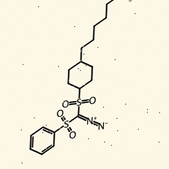 CCCCCCC1CCC(S(=O)(=O)C(=[N+]=[N-])S(=O)(=O)c2ccccc2)CC1